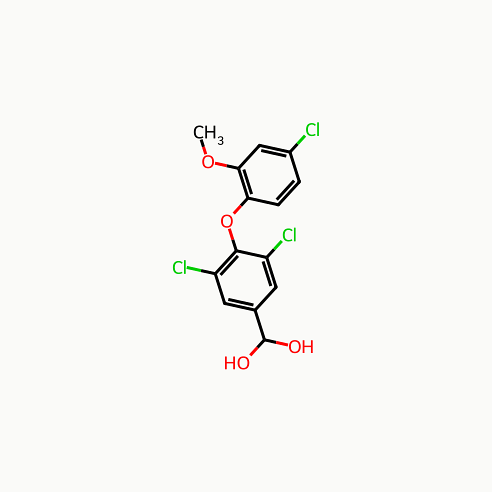 COc1cc(Cl)ccc1Oc1c(Cl)cc(C(O)O)cc1Cl